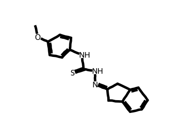 COc1ccc(NC(=S)NN=C2Cc3ccccc3C2)cc1